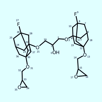 OC(COC12CC3CC(F)(C1)CC(OCC1CO1)(C3)C2)COC12CC3CC(F)(C1)CC(OCC1CO1)(C3)C2